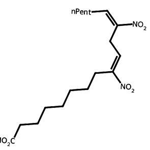 CCCCC/C=C(\C/C=C(\CCCCCCCC(=O)O)[N+](=O)[O-])[N+](=O)[O-]